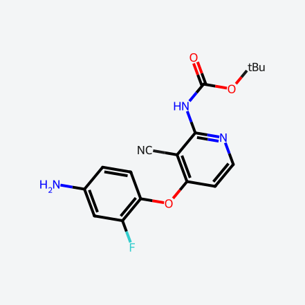 CC(C)(C)OC(=O)Nc1nccc(Oc2ccc(N)cc2F)c1C#N